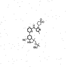 Cc1cc(Nc2nccc(-c3cc(C#N)c4c(c3)C(C)(CO[Si](C)(C)C(C)(C)C)CN4)n2)n(C2CCS(=O)(=O)C2)n1